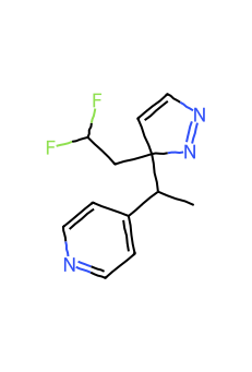 CC(c1ccncc1)C1(CC(F)F)C=CN=N1